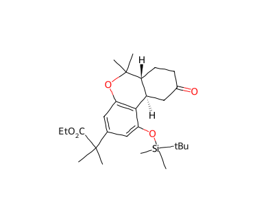 CCOC(=O)C(C)(C)c1cc2c(c(O[Si](C)(C)C(C)(C)C)c1)[C@@H]1CC(=O)CC[C@H]1C(C)(C)O2